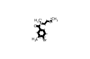 COCCN(C)C(=O)c1ccc(Br)c(C)c1